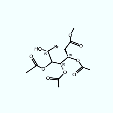 COC(=O)C[C@@H](OC(C)=O)[C@H](OC(C)=O)C(OC(C)=O)[C@H](O)Br